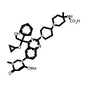 COC1=CC(=O)N(C)CN1c1ccc2nc(N3CCC(N4CCC(C)(NC(=O)O)CC4)CC3)nc(C(CO)(OC3CC3)c3ccccc3)c2c1